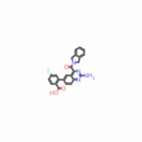 Nc1nc(C(=O)N2Cc3ccccc3C2)c2cc(-c3cc(F)ccc3C(=O)O)ccc2n1